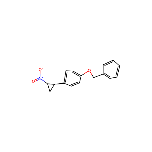 O=[N+]([O-])C1C[C@@H]1c1ccc(OCc2ccccc2)cc1